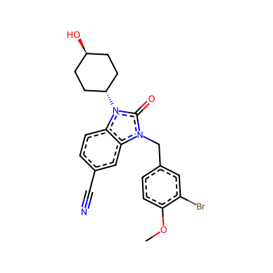 COc1ccc(Cn2c(=O)n([C@H]3CC[C@H](O)CC3)c3ccc(C#N)cc32)cc1Br